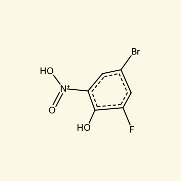 O=[N+](O)c1cc(Br)cc(F)c1O